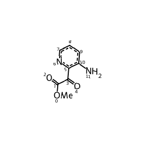 COC(=O)C(=O)c1ncccc1N